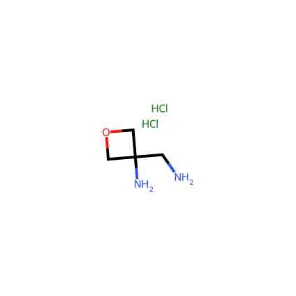 Cl.Cl.NCC1(N)COC1